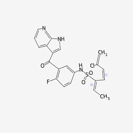 C=C(Cl)/C=C\C(=C/C)S(=O)(=O)Nc1ccc(F)c(C(=O)c2c[nH]c3ncccc23)c1